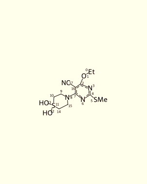 CCOc1nc(SC)nc(N2CCS(O)(O)CC2)c1C#N